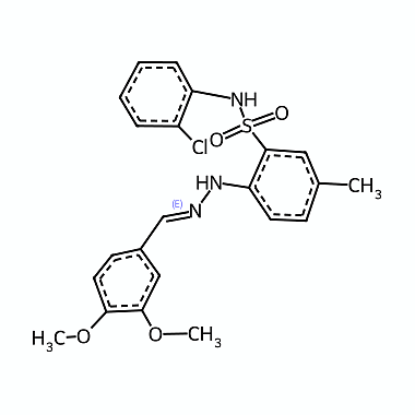 COc1ccc(/C=N/Nc2ccc(C)cc2S(=O)(=O)Nc2ccccc2Cl)cc1OC